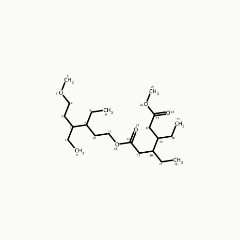 CCC(CCOC)C(CC)CCOC(=O)CC(CC)C(CC)CC(=O)OC